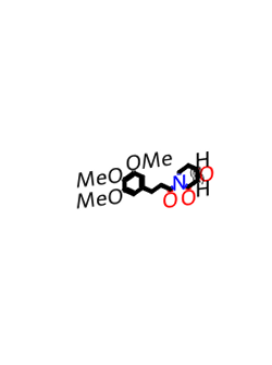 COc1cc(CCC(=O)N2CC[C@H]3O[C@H]3C2=O)cc(OC)c1OC